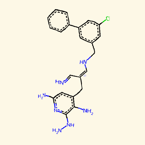 N=C/C(=C\NCc1cc(Cl)cc(-c2ccccc2)c1)Cc1cc(N)nc(NN)c1N